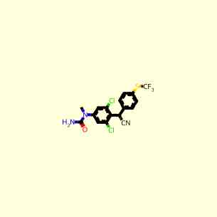 CN(C(N)=O)c1cc(Cl)c(C(C#N)c2ccc(SC(F)(F)F)cc2)c(Cl)c1